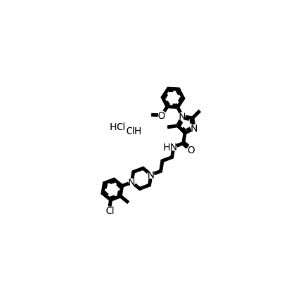 COc1ccccc1-n1c(C)nc(C(=O)NCCCN2CCN(c3cccc(Cl)c3C)CC2)c1C.Cl.Cl